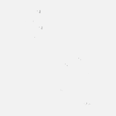 COc1cncc(-c2cccn3c(-c4ccccc4)c(-c4ccc(C5(NC(N)=O)CCC5)cc4)nc23)c1